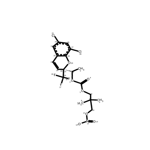 CC(OC(=O)OCC(C)(C)CO[N+](=O)[O-])[C@]1(C(F)(F)F)C=Cc2cc(Cl)cc(Cl)c2O1